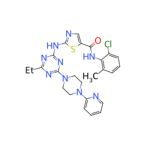 CCc1nc(Nc2ncc(C(=O)Nc3c(C)cccc3Cl)s2)nc(N2CCN(c3ccccn3)CC2)n1